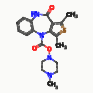 Cc1sc(C)c2c1C(=O)Nc1ccccc1N2C(=O)ON1CCN(C)CC1